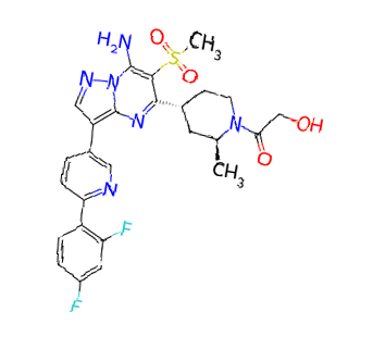 C[C@H]1C[C@H](c2nc3c(-c4ccc(-c5ccc(F)cc5F)nc4)cnn3c(N)c2S(C)(=O)=O)CCN1C(=O)CO